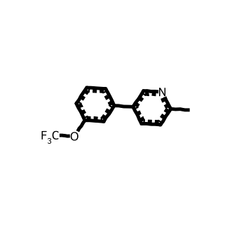 Cc1ccc(-c2cccc(OC(F)(F)F)c2)cn1